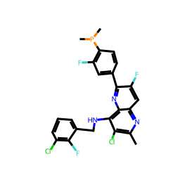 Cc1nc2cc(F)c(-c3ccc(P(C)C)c(F)c3)nc2c(NCc2cccc(Cl)c2F)c1Cl